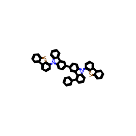 c1ccc(-c2cccc3c2c2cc(-c4ccc5c(c4)c4ccccc4n5-c4cccc5c4sc4ccccc45)ccc2n3-c2cccc3c2sc2ccccc23)cc1